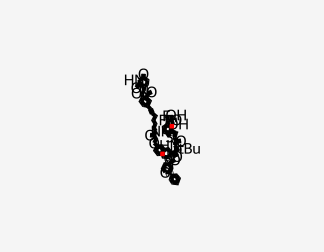 CC(C)(C)[C@H](NC(=O)c1cc2cc(C(F)(F)P(=O)(O)O)ccc2s1)C(=O)N1Cc2cc(OCC(=O)NCCCCC#Cc3ccc4c(c3)C(=O)N(C3CCC(=O)NC3=O)C4=O)ccc2C[C@H]1C(=O)N1CCO[C@H](c2ccccc2)C1